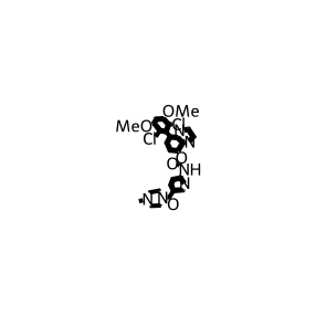 COc1cc(OC)c(Cl)c(-c2ccc(OC(=O)Nc3ccc(C(=O)N4CCN(C)CC4)cn3)c3nccnc23)c1Cl